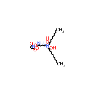 CCCCCCCCCC[C@@H](O)CN(CCCC[C@@H](N)C(=O)ON1C(=O)CCC1=O)C[C@H](O)CCCCCCCCC